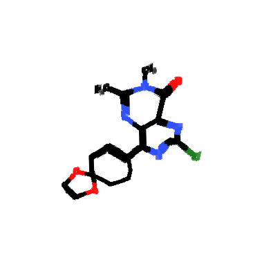 Cc1nc2c(C3=CCC4(CC3)OCCO4)nc(Cl)nc2c(=O)n1C